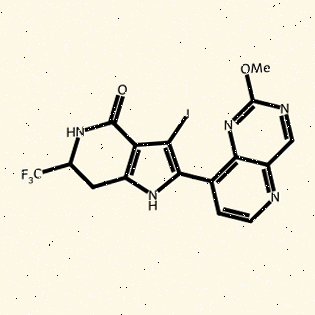 COc1ncc2nccc(-c3[nH]c4c(c3I)C(=O)NC(C(F)(F)F)C4)c2n1